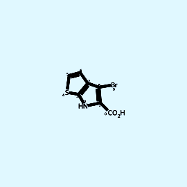 O=C(O)c1[nH]c2sccc2c1Br